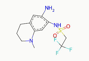 CN1CCCc2cc(N)c(NS(=O)(=O)CC(F)(F)F)cc21